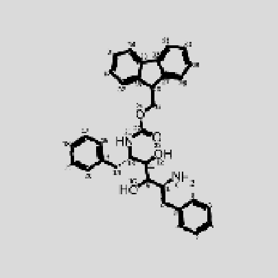 N[C@@H](Cc1ccccc1)C(O)C(O)[C@H](Cc1ccccc1)NC(=O)OCC1c2ccccc2-c2ccccc21